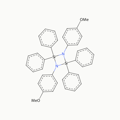 COc1ccc(N2[Si](c3ccccc3)(c3ccccc3)N(c3ccc(OC)cc3)[Si]2(c2ccccc2)c2ccccc2)cc1